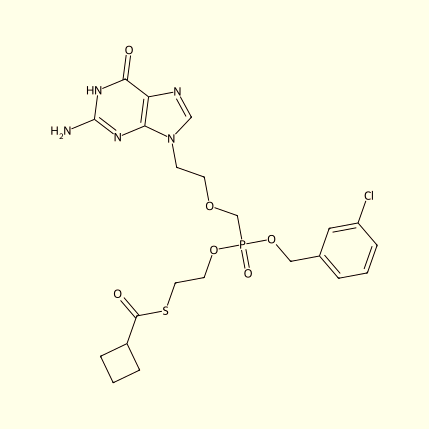 Nc1nc2c(ncn2CCOCP(=O)(OCCSC(=O)C2CCC2)OCc2cccc(Cl)c2)c(=O)[nH]1